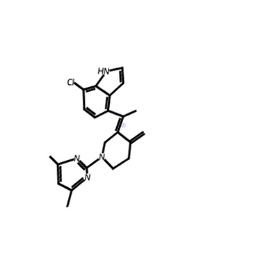 C=C1CCN(c2nc(C)cc(C)n2)C/C1=C(/C)c1ccc(Cl)c2[nH]ccc12